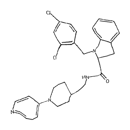 O=C(NCC1CCN(c2ccncc2)CC1)C1Cc2ccccc2N1Cc1ccc(Cl)cc1Cl